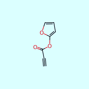 C#CC(=O)Oc1ccco1